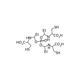 CCC(NC(CS)C(=O)O)OP(=O)(OC(CC)NC(CS)C(=O)O)OC(CC)NC(CS)C(=O)O